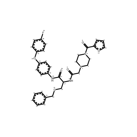 O=C(CN1CCN(C(=O)c2ccco2)CC1)NC(COCc1ccccc1)C(=O)Nc1ccc(Oc2ccc(F)cc2)cc1